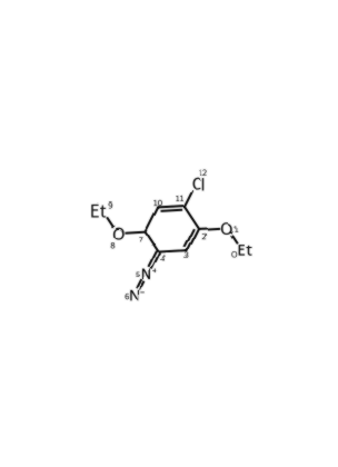 CCOC1=CC(=[N+]=[N-])C(OCC)C=C1Cl